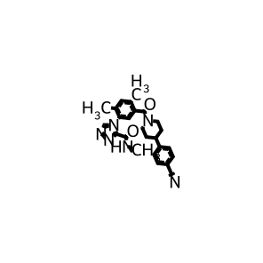 CNC(=O)c1nncn1-c1cc(C(=O)N2CCC(c3ccc(C#N)cc3)CC2)c(C)cc1C